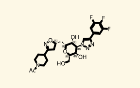 CC(=O)N1CCC(C2=NO[C@H](C[C@H]3O[C@H](CO)[C@H](O)[C@H](n4cc(-c5cc(F)c(F)c(F)c5)nn4)[C@H]3O)C2)CC1